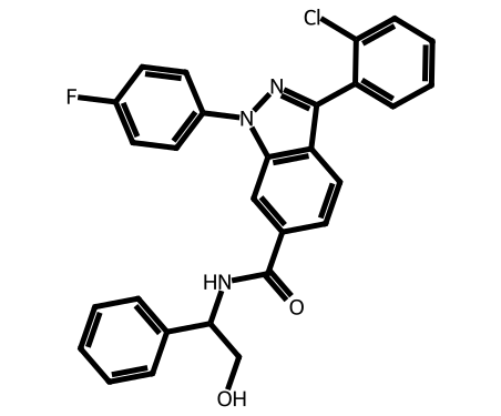 O=C(NC(CO)c1ccccc1)c1ccc2c(-c3ccccc3Cl)nn(-c3ccc(F)cc3)c2c1